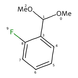 COC(OC)c1ccccc1F